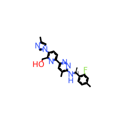 Cc1ccc([C@H](C)Nc2nnc(-c3ccc(-n4cnc(C)c4)c(CO)n3)cc2C)c(F)c1